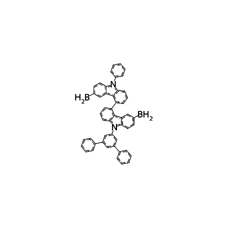 Bc1ccc2c(c1)c1c(-c3cccc4c3c3cc(B)ccc3n4-c3cc(-c4ccccc4)cc(-c4ccccc4)c3)cccc1n2-c1ccccc1